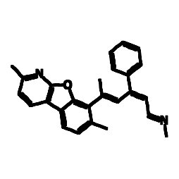 C/N=C/C=C(\C=C(/C)c1c(C)ccc2c1oc1nc(C)ccc12)c1ccccc1